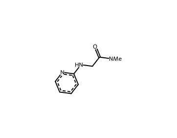 CNC(=O)CNc1ccccn1